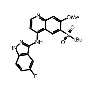 COc1cc2nccc(Nc3n[nH]c4ccc(F)cc34)c2cc1S(=O)(=O)C(C)(C)C